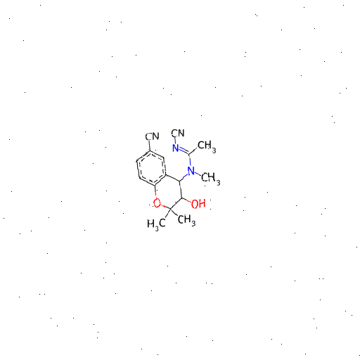 CC(=NC#N)N(C)C1c2cc(C#N)ccc2OC(C)(C)C1O